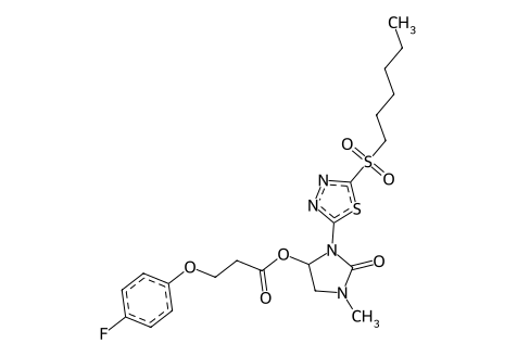 CCCCCCS(=O)(=O)c1nnc(N2C(=O)N(C)CC2OC(=O)CCOc2ccc(F)cc2)s1